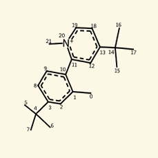 Cc1cc(C(C)(C)C)ccc1-c1cc(C(C)(C)C)cc[n+]1C